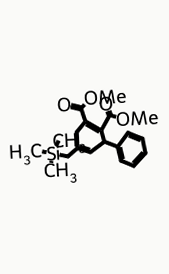 COC(=O)C1=C(C(=O)OC)C(c2ccccc2)C=C(C[Si](C)(C)C)C1